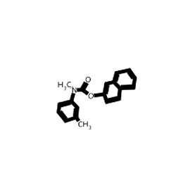 Cc1cccc(N(C)C(=O)Oc2ccc3ccccc3c2)c1